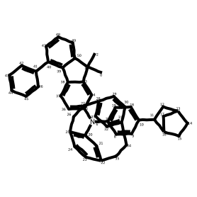 CC1(C)c2cc(N(c3ccc(C4CC5CCC4C5)cc3)c3cc4ccc3CCc3ccc(cc3)CC4)ccc2-c2c(-c3ccccc3)cccc21